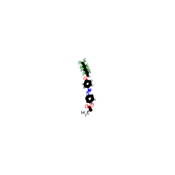 C=CC(=O)Oc1ccc(/N=N/c2ccc(OCC(F)(F)C(F)(F)C(F)(F)C(F)F)cc2)cc1